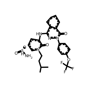 CC(C)CCn1cccc(Nc2nn(-c3ccc(OC(F)(F)F)cc3)c(=O)c3ccccc23)c1=O.N[SH](=O)=O